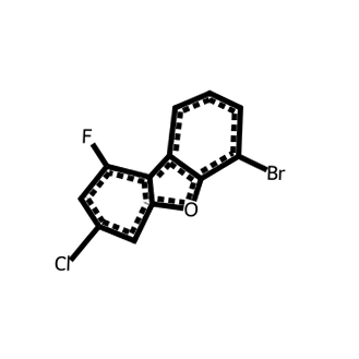 Fc1cc(Cl)cc2oc3c(Br)cccc3c12